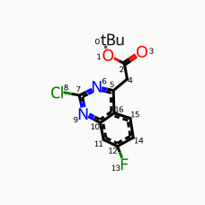 CC(C)(C)OC(=O)Cc1nc(Cl)nc2cc(F)ccc12